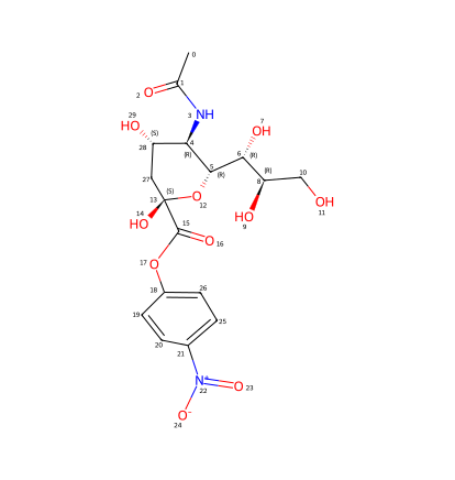 CC(=O)N[C@H]1[C@H]([C@H](O)[C@H](O)CO)O[C@](O)(C(=O)Oc2ccc([N+](=O)[O-])cc2)C[C@@H]1O